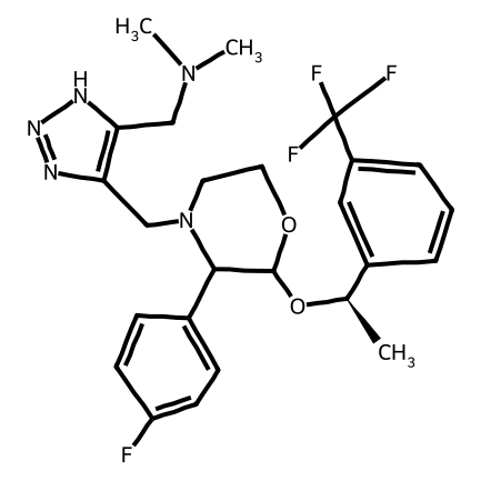 C[C@@H](OC1OCCN(Cc2nn[nH]c2CN(C)C)C1c1ccc(F)cc1)c1cccc(C(F)(F)F)c1